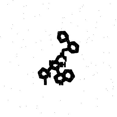 Cc1cccc(-c2nc(CN(I)Cc3ccccc3-c3ccccc3)[nH]c2-c2ccnc3ccccc23)n1